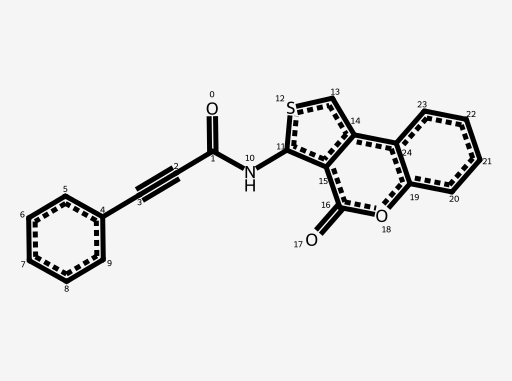 O=C(C#Cc1ccccc1)Nc1scc2c1c(=O)oc1ccccc12